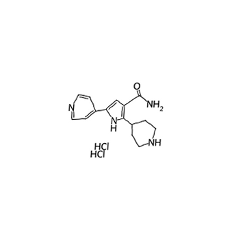 Cl.Cl.NC(=O)c1cc(-c2ccncc2)[nH]c1C1CCNCC1